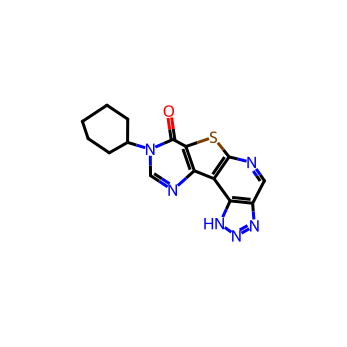 O=c1c2sc3ncc4nn[nH]c4c3c2ncn1C1CCCCC1